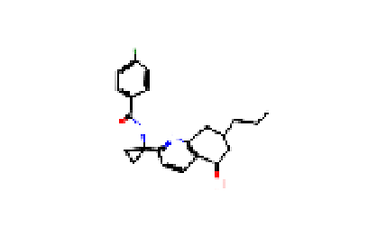 CCCC1Cc2nc(C3(NC(=O)c4ccc(F)cc4)CC3)ccc2C(O)C1